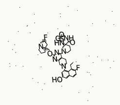 CCc1c(F)ccc2cc(O)cc(N3CCc4c(nc(OC[C@@]56CCCN5C[C@H](F)C6)nc4N4CCCC5(C4)NS(=O)(=O)NC5=O)C3)c12